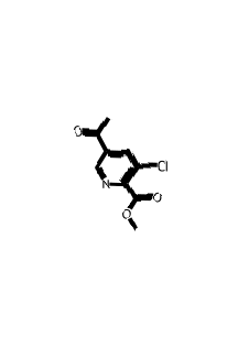 COC(=O)c1ncc(C(C)=O)cc1Cl